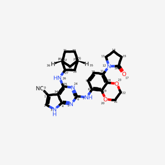 N#Cc1c[nH]c2nc(Nc3ccc(N4CCCC4=O)c4c3OCCO4)nc(NC3C[C@H]4CC[C@@H]3C4)c12